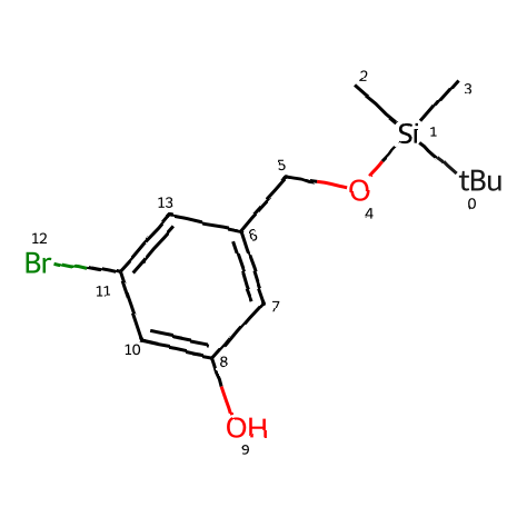 CC(C)(C)[Si](C)(C)OCc1cc(O)cc(Br)c1